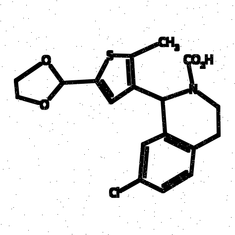 Cc1sc(C2OCCO2)cc1C1c2cc(Cl)ccc2CCN1C(=O)O